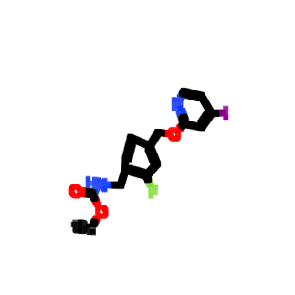 CC(C)(C)OC(=O)NCc1ccc(COc2cc(I)ccn2)cc1F